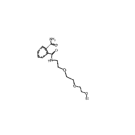 CCOCCOCCOCCNC(=O)c1ccccc1C(N)=O